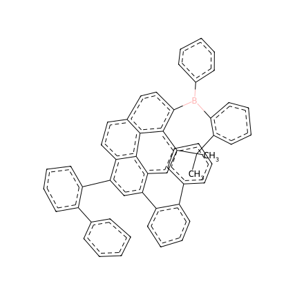 CC1(C)c2ccccc2B(c2ccccc2)c2ccc3ccc4c(-c5ccccc5-c5ccccc5)cc(-c5ccccc5-c5ccccc5)c5cc1c2c3c45